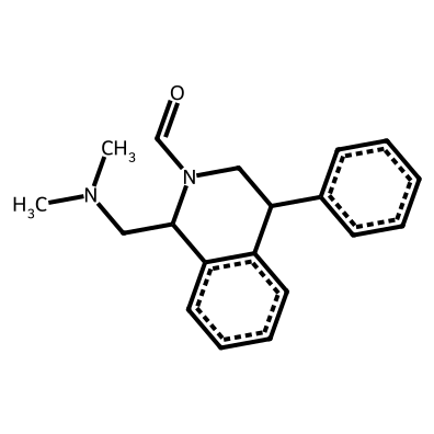 CN(C)CC1c2ccccc2C(c2ccccc2)CN1C=O